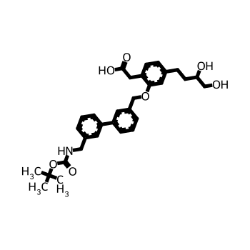 CC(C)(C)OC(=O)NCc1cccc(-c2cccc(COc3cc(CCC(O)CO)ccc3CC(=O)O)c2)c1